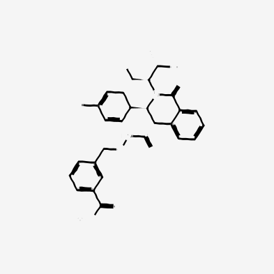 COC(=O)c1cccc(CONC(=O)[C@H]2c3ccccc3C(=O)N([C@@H](CO)[C@H](C)O)[C@@H]2C2C=CC(Cl)=CC2)c1